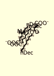 CCCCCCCCCCCCCCCCCC(=O)[O-].CCCCCCCCCCCCCCCCCC(=O)[O-].CCCCCCCCCCCCCCCCCCOC(=O)/C=C/C(=O)[O-].[Mg+2].[Na+]